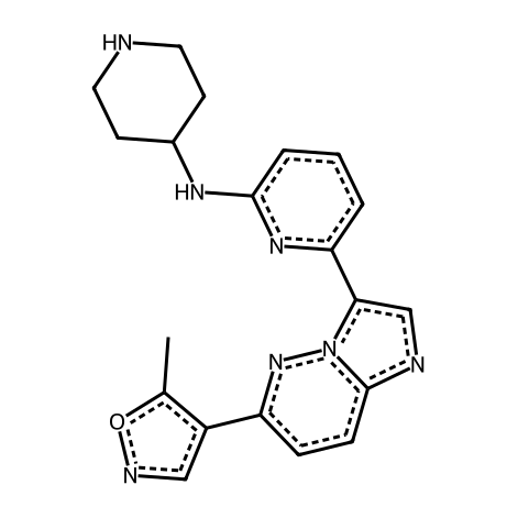 Cc1oncc1-c1ccc2ncc(-c3cccc(NC4CCNCC4)n3)n2n1